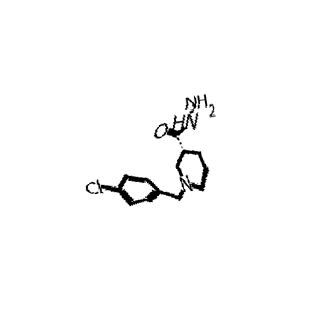 NNC(=O)[C@@H]1CCCN(Cc2ccc(Cl)cc2)C1